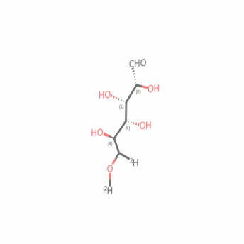 [2H]OC([2H])[C@@H](O)[C@@H](O)[C@H](O)[C@@H](O)C=O